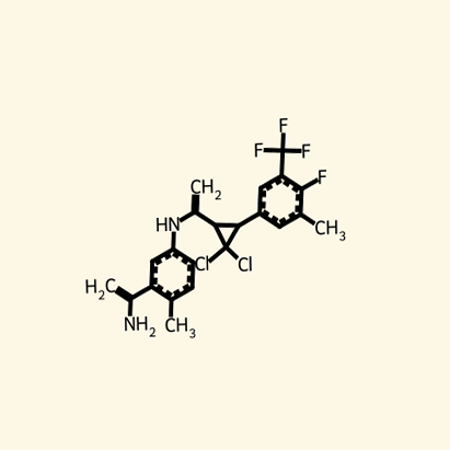 C=C(N)c1cc(NC(=C)C2C(c3cc(C)c(F)c(C(F)(F)F)c3)C2(Cl)Cl)ccc1C